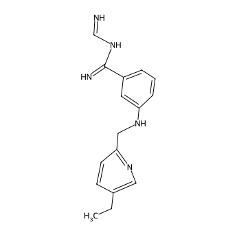 CCc1ccc(CNc2cccc(C(=N)NC=N)c2)nc1